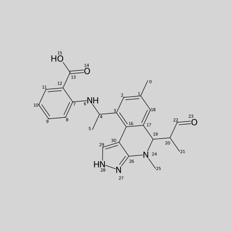 Cc1cc(C(C)Nc2ccccc2C(=O)O)c2c(c1)C(C(C)C=O)N(C)c1n[nH]cc1-2